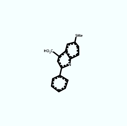 CSc1ccc2nc(-c3ccccc3)cc(C(=O)O)c2c1